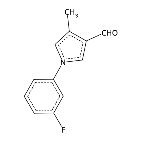 Cc1cn(-c2cccc(F)c2)cc1C=O